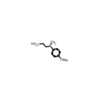 COc1ccc(N(C)CCC(=O)O)cc1